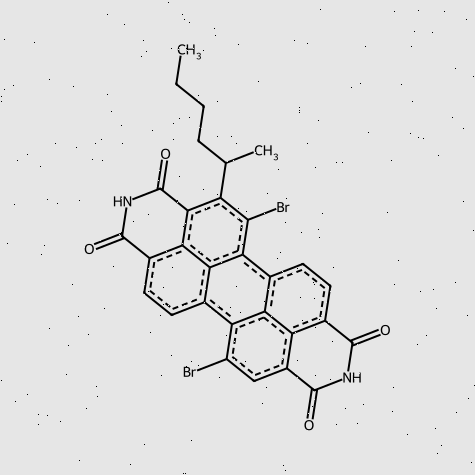 CCCCC(C)c1c2c3c(ccc4c5c(Br)cc6c7c(ccc(c(c1Br)c34)c75)C(=O)NC6=O)C(=O)NC2=O